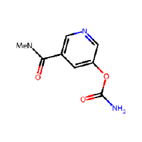 CNC(=O)c1cncc(OC(N)=O)c1